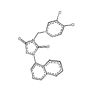 O=c1sn(-c2cccc3ccccc23)c(=O)n1Cc1ccc(Cl)c(Cl)c1